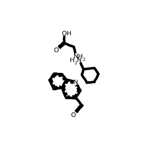 NC1CCCCC1.NCC(=O)O.O=Cc1cnc2ccccc2c1